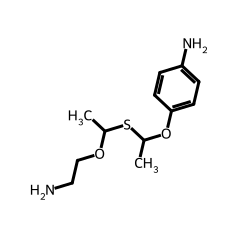 CC(OCCN)SC(C)Oc1ccc(N)cc1